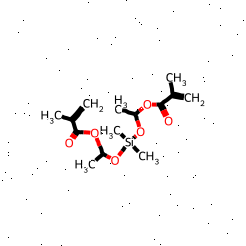 C=C(C)C(=O)OC(C)O[Si](C)(C)OC(C)OC(=O)C(=C)C